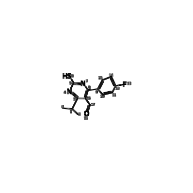 CC(C)c1nc(S)nc(-c2ccc(F)cc2)c1C=O